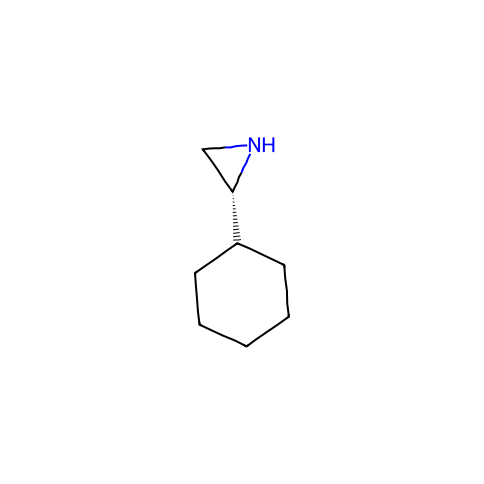 C1CCC([C@@H]2CN2)CC1